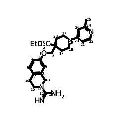 CCOC(=O)C1(COc2ccc3c(c2)CN(C(=N)N)CC3)CCN(c2ccnc(C)c2)CC1